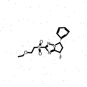 CCOCCS(=O)(=O)c1nc2n(n1)[C@H](c1ccccc1)C[C@@H]2F